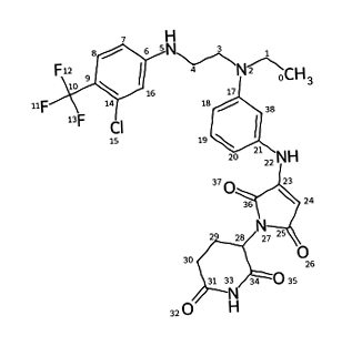 CCN(CCNc1ccc(C(F)(F)F)c(Cl)c1)c1cccc(NC2=CC(=O)N(C3CCC(=O)NC3=O)C2=O)c1